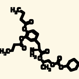 CCCC(=O)Oc1ccc(C[C@H](N)C(=O)O[C@@H](C)COC(=O)OC2CCCCC2)cc1OC(=O)CCC